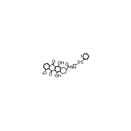 COc1cccc2c1C(=O)c1c(O)c3c(c(O)c1C2=O)C[C@@](C)(C(=O)NCCSSc1ccccn1)CC3